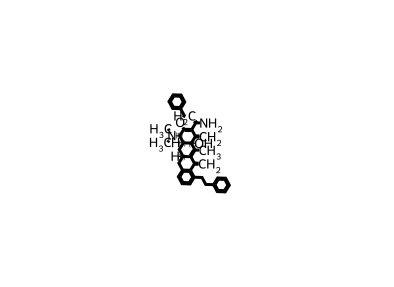 C=C(N)C1=C(OCc2ccccc2)[C@@H](N(C)C)[C@@H]2C[C@@H]3Cc4cccc(CCc5ccccc5)c4C(=C)C3=C(C)[C@]2(O)C1=C